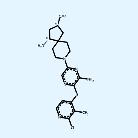 CO[C@@H]1C[C@@H](N)C2(CCN(c3cnc(Sc4ccnc(Cl)c4C(F)(F)F)c(N)n3)CC2)C1